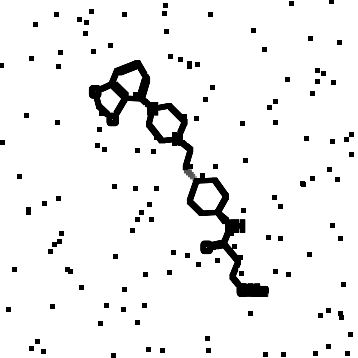 COCCC(=O)N[C@H]1CC[C@H](CCN2CCN(c3cccc4c3OCO4)CC2)CC1